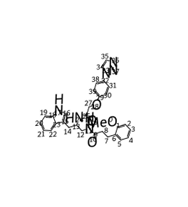 COc1ccccc1CCC(=O)NCC(Cc1c[nH]c2ccccc12)NC(=O)COc1ccc(-n2ccnn2)cc1